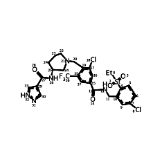 CCS(=O)(=O)c1ccc(Cl)cc1CNC(=O)c1cc(Cl)c(CN2CCC[C@H](NC(=O)c3cn[nH]c3)C2)c(C(F)(F)F)c1